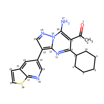 CC(=O)c1c(C2CCCCC2)nc2c(-c3cnc4sccc4c3)cnn2c1N